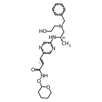 C[C@H](CN(CCO)Cc1ccccc1)Nc1cnc(/C=C/C(=O)NOC2CCCCO2)cn1